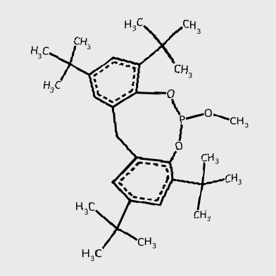 COP1Oc2c(cc(C(C)(C)C)cc2C(C)(C)C)Cc2cc(C(C)(C)C)cc(C(C)(C)C)c2O1